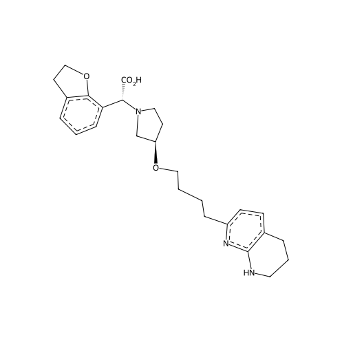 O=C(O)[C@@H](c1cccc2c1OCC2)N1CC[C@@H](OCCCCc2ccc3c(n2)NCCC3)C1